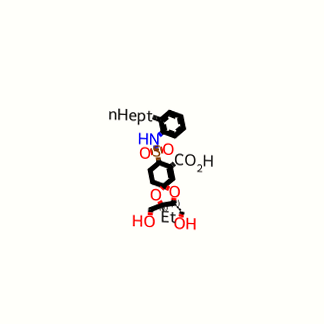 CCCCCCCc1ccccc1NS(=O)(=O)C1CCC2(C=C1C(=O)O)O[C@H](CO)[C@@](CC)(CO)O2